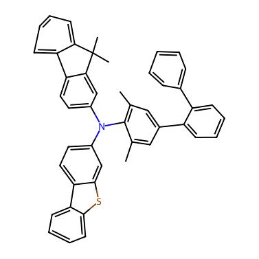 Cc1cc(-c2ccccc2-c2ccccc2)cc(C)c1N(c1ccc2c(c1)C(C)(C)c1ccccc1-2)c1ccc2c(c1)sc1ccccc12